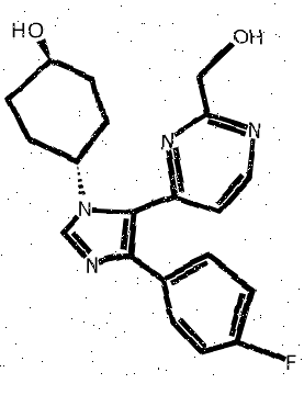 OCc1nccc(-c2c(-c3ccc(F)cc3)ncn2[C@H]2CC[C@H](O)CC2)n1